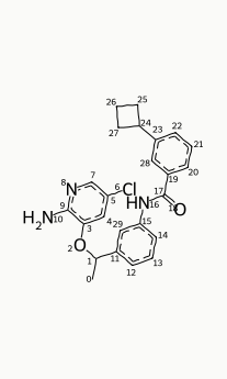 CC(Oc1cc(Cl)cnc1N)c1cccc(NC(=O)c2cccc(C3CCC3)c2)c1